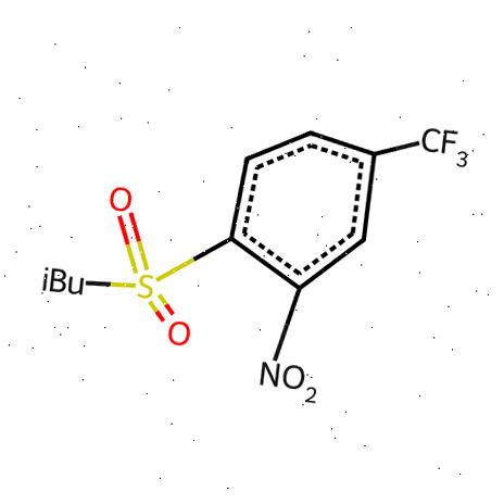 CCC(C)S(=O)(=O)c1ccc(C(F)(F)F)cc1[N+](=O)[O-]